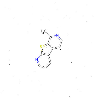 Cc1nccc2c1sc1ncccc12